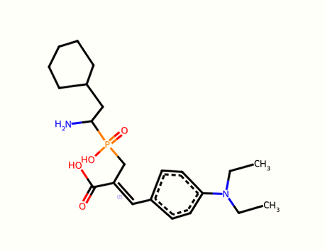 CCN(CC)c1ccc(/C=C(\CP(=O)(O)C(N)CC2CCCCC2)C(=O)O)cc1